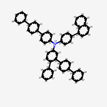 c1ccc(-c2ccc(-c3ccc(N(c4ccc(-c5cccc6ccccc56)cc4)c4ccc(-c5ccccc5)c(-c5ccc(-c6ccccc6)cc5)c4)cc3)cc2)cc1